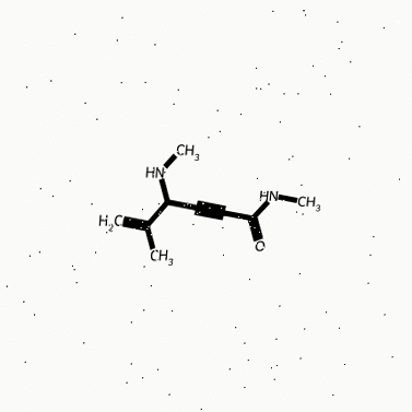 C=C(C)C(C#CC(=O)NC)NC